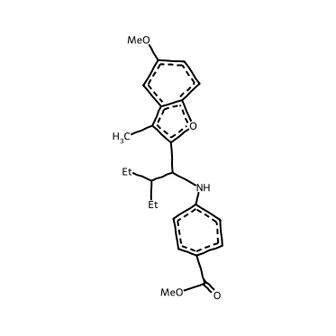 CCC(CC)C(Nc1ccc(C(=O)OC)cc1)c1oc2ccc(OC)cc2c1C